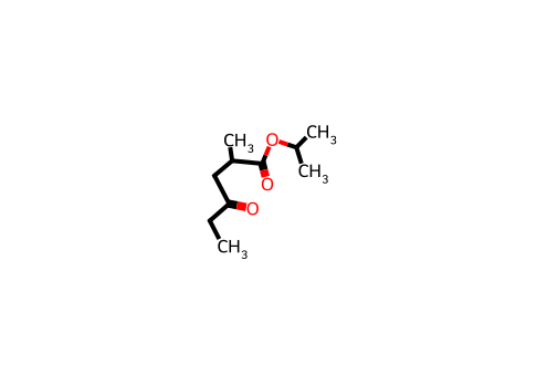 CCC(=O)CC(C)C(=O)OC(C)C